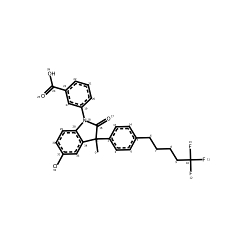 CC1(c2ccc(CCCCC(F)(F)F)cc2)C(=O)N(c2cccc(C(=O)O)c2)c2ccc(Cl)cc21